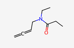 C=C=CCN(CC)C(=O)CC